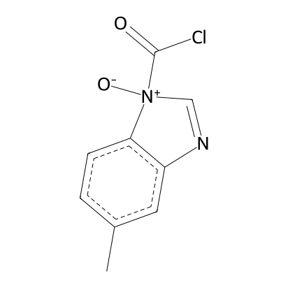 Cc1ccc2c(c1)N=C[N+]2([O-])C(=O)Cl